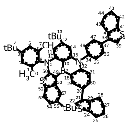 Cc1cc(C(C)(C)C)cc(C)c1N1c2cc(C(C)(C)C)cc3c2B(c2cc(-c4csc5ccccc45)ccc2N3c2ccc(-c3csc4ccccc34)cc2)c2c1sc1ccc(C(C)(C)C)cc21